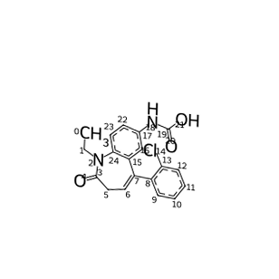 CCN1C(=O)CC=C(c2ccccc2Cl)c2cc(NC(=O)O)ccc21